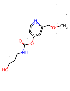 COCc1cc(OC(=O)NCCCO)ccn1